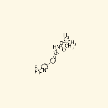 CC(C)(C)OC(=O)NC12CC(n3ccc(-c4ccc(C(F)(F)F)nc4)c3)(C1)C2